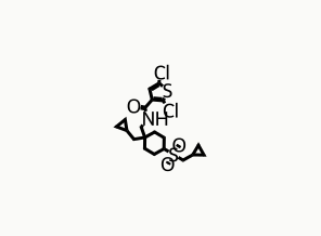 O=C(NCC1(CC2CC2)CCC(S(=O)(=O)CC2CC2)CC1)c1cc(Cl)sc1Cl